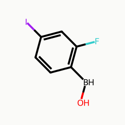 OBc1ccc(I)cc1F